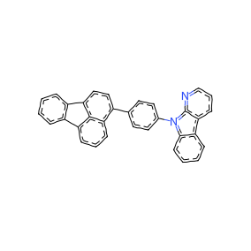 c1ccc2c(c1)-c1cccc3c(-c4ccc(-n5c6ccccc6c6cccnc65)cc4)ccc-2c13